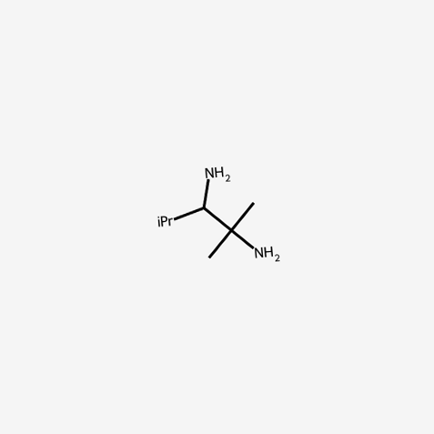 CC(C)C(N)C(C)(C)N